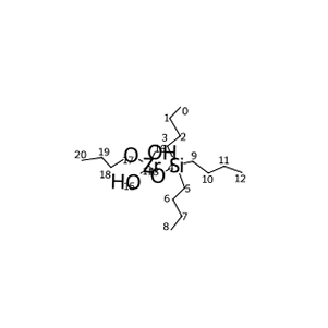 CCCC[Si](CCCC)(CCCC)[O][Zr]([OH])([OH])[O]CCC